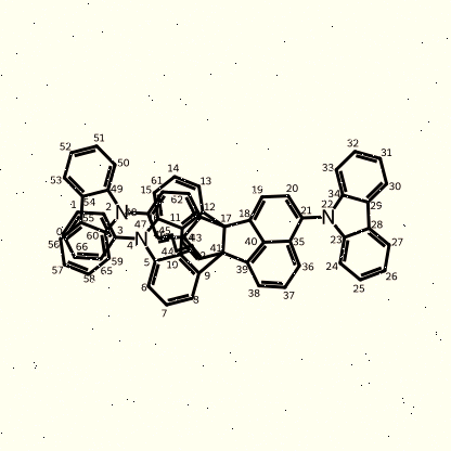 c1ccc(-n2c3cccc4c3c3c(cccc32)C23c5ccc(-n6c7ccccc7c7ccccc76)c6cccc(c56)C42c2cccc4c(-n5c6ccccc6c6ccccc65)ccc3c24)cc1